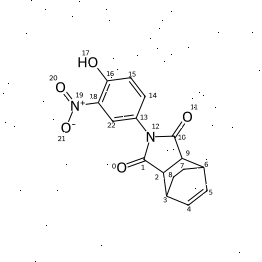 O=C1C2C3C=CC(CC3)C2C(=O)N1c1ccc(O)c([N+](=O)[O-])c1